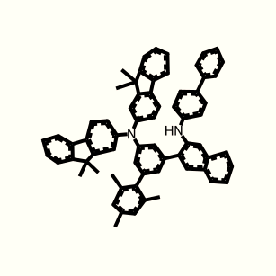 Cc1cc(C)c(-c2cc(-c3cc4ccccc4cc3Nc3ccc(-c4ccccc4)cc3)cc(N(c3ccc4c(c3)C(C)(C)c3ccccc3-4)c3ccc4c(c3)C(C)(C)c3ccccc3-4)c2)c(C)c1